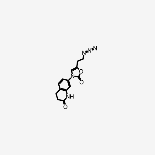 [N-]=[N+]=NCCc1cn(-c2ccc3c(c2)NC(=O)CC3)c(=O)o1